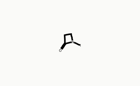 O=C1CCN1I